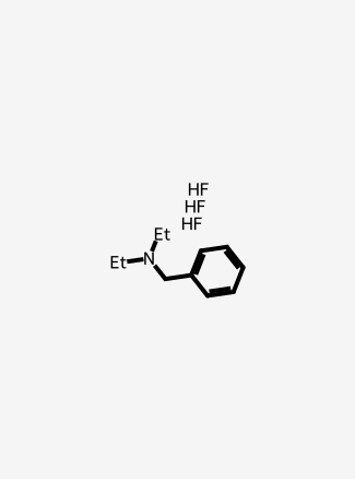 CCN(CC)Cc1ccccc1.F.F.F